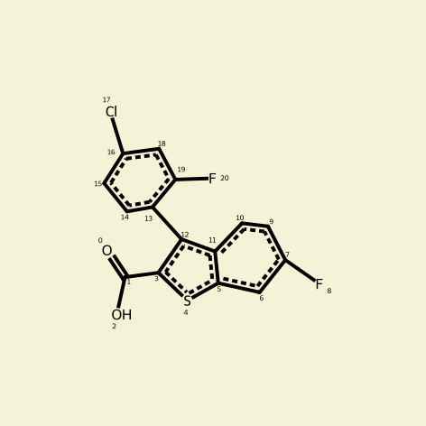 O=C(O)c1sc2cc(F)ccc2c1-c1ccc(Cl)cc1F